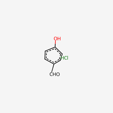 Cl.O=Cc1ccc(O)cc1